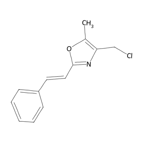 Cc1oc(C=Cc2ccccc2)nc1CCl